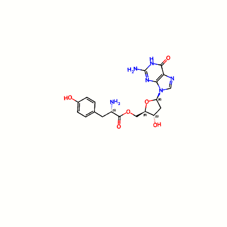 Nc1nc2c(ncn2[C@H]2C[C@H](O)[C@@H](COC(=O)[C@@H](N)Cc3ccc(O)cc3)O2)c(=O)[nH]1